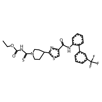 CCOC(=O)NC(=S)N1CCC(c2nc(C(=O)Nc3ccccc3-c3cccc(C(F)(F)F)c3)cs2)CC1